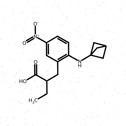 CCC(Cc1cc([N+](=O)[O-])ccc1NC12CC(C1)C2)C(=O)O